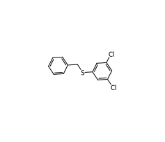 Clc1cc(Cl)cc(SCc2ccccc2)c1